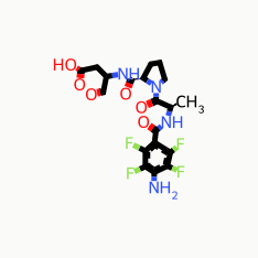 C[C@H](NC(=O)c1c(F)c(F)c(N)c(F)c1F)C(=O)N1CCC[C@H]1C(=O)NC(C=O)CC(=O)O